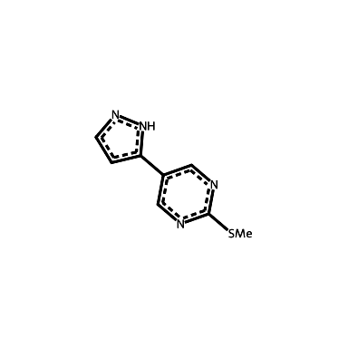 CSc1ncc(-c2ccn[nH]2)cn1